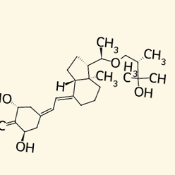 C=C1[C@H](O)CC(=C/C=C2\CCC[C@]3(C)[C@@H]([C@@H](C)OC[C@H](C)C(C)(C)O)CC[C@@H]23)C[C@H]1O